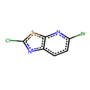 Clc1nc2ccc(Br)nc2s1